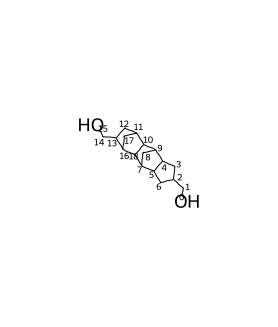 OCC1CC2C(C1)C1CC2C2C3CC(CO)C(C3)C12